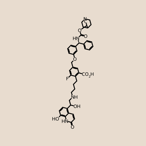 O=C(N[C@@H](c1ccccc1)c1cccc(OCc2cc(F)c(CCCCNCC(O)c3ccc(O)c4[nH]c(=O)ccc34)c(C(=O)O)c2)c1)OC1CN2CCC1CC2